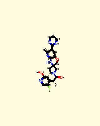 COc1cc([C@@H](C)C(=O)N2CCC3(COc4cc(-c5ncccn5)c(C)nc4N3)C2)c(F)cn1